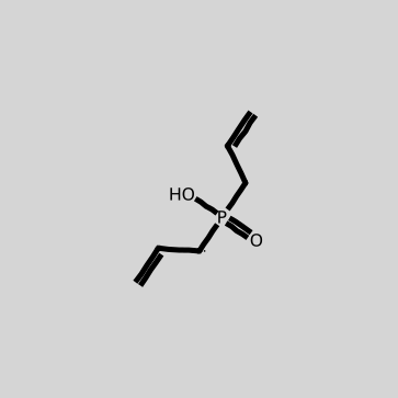 C=C[CH]P(=O)(O)CC=C